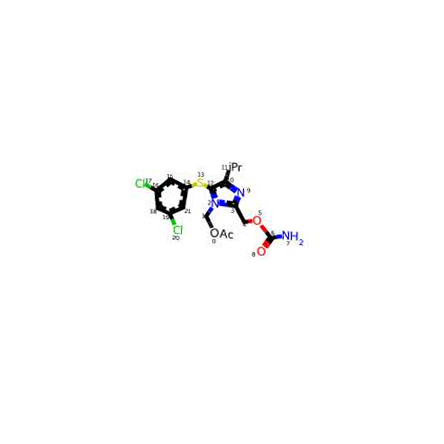 CC(=O)OCn1c(COC(N)=O)nc(C(C)C)c1Sc1cc(Cl)cc(Cl)c1